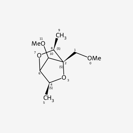 COC[C@]12O[C@@H](C)C(O[C@H]1C)C2OC